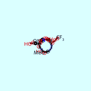 CO[C@@H]1C[C@H](C[C@@H](C)[C@@H]2CC(=O)[C@H](C)/C=C(\C)[C@@H](O)[C@@H](OC)C(=O)[C@H](C)C[C@H](C)/C=C/C=C/C=C(\C)C(OCCOCCOC(F)(F)F)C[C@@H]3CC[C@@H](C)[C@@](O)(O3)C(=O)C(=O)N3CCCC[C@H]3C(=O)O2)CC[C@H]1OCCO